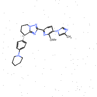 COc1nc(-c2nc3n(n2)CCC[C@H]3c2ccc(N3CCCCC3)cc2)ccc1-n1cnc(C)c1